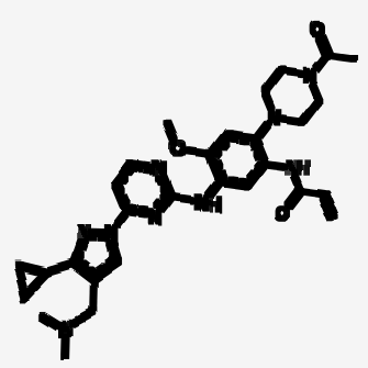 C=CC(=O)Nc1cc(Nc2nccc(-n3cc(CN(C)C)c(C4CC4)n3)n2)c(OC)cc1N1CCN(C(C)=O)CC1